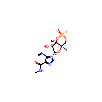 C=Nc1c(C(=O)NC)ncn1[C@@H]1O[C@@H]2COP(=O)(S)O[C@H]2[C@H]1O